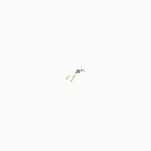 [Bi+3].[F-].[F-].[F-]